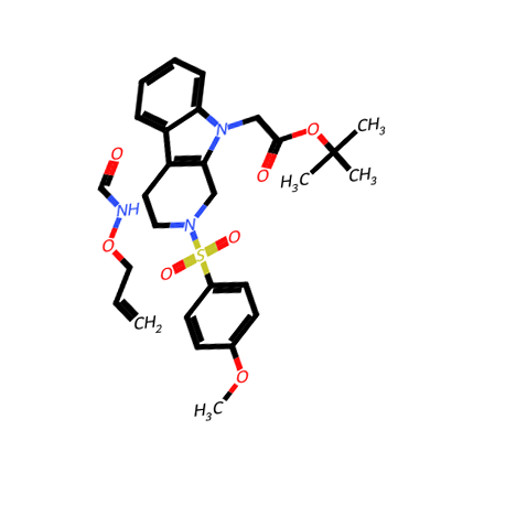 C=CCONC=O.COc1ccc(S(=O)(=O)N2CCc3c(n(CC(=O)OC(C)(C)C)c4ccccc34)C2)cc1